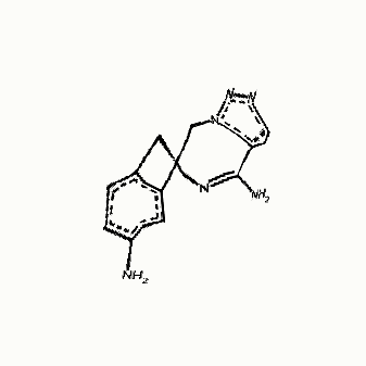 NC1=N[C@@]2(Cc3ccc(N)cc32)Cn2nncc21